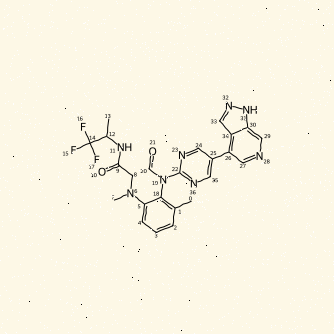 Cc1cccc(N(C)CC(=O)NC(C)C(F)(F)F)c1N(C=O)c1ncc(-c2cncc3[nH]ncc23)cn1